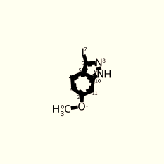 COc1ccc2c(I)n[nH]c2c1